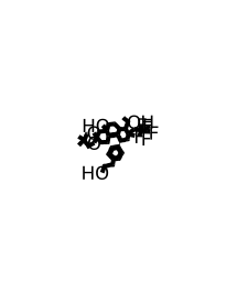 CCC1C2CCC3(O)CC4(CCC3=C2[C@@H](c2ccc(CCO)cc2)CC1(C)C(O)C(F)(F)C(F)(F)F)OCC(C)(C)CO4